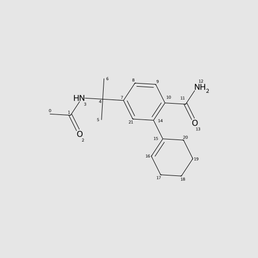 CC(=O)NC(C)(C)c1ccc(C(N)=O)c(C2=CCCCC2)c1